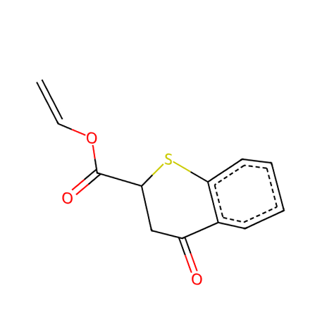 C=COC(=O)C1CC(=O)c2ccccc2S1